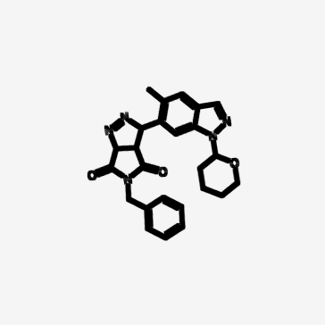 Cc1cc2cnn(C3CCCCO3)c2cc1C1N=NC2C(=O)N(Cc3ccccc3)C(=O)C21